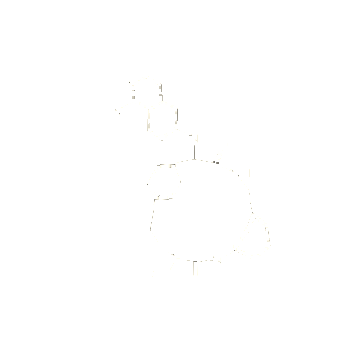 CN1CCc2ccc(cc2)C(Nc2ccc3c(N)nccc3c2)C(=O)NCc2cccc(c2)NC1=O